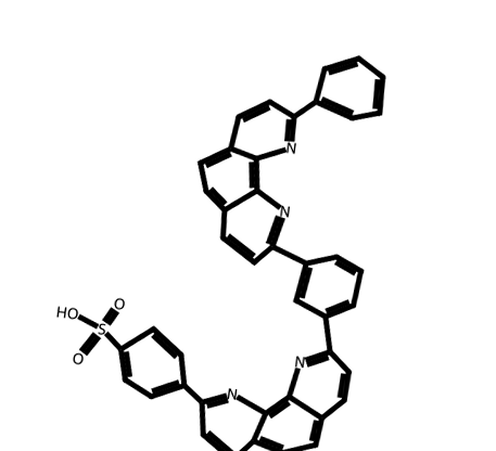 O=S(=O)(O)c1ccc(-c2ccc3ccc4ccc(-c5cccc(-c6ccc7ccc8ccc(-c9ccccc9)nc8c7n6)c5)nc4c3n2)cc1